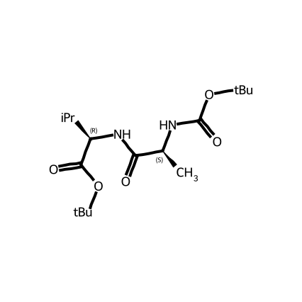 CC(C)[C@@H](NC(=O)[C@H](C)NC(=O)OC(C)(C)C)C(=O)OC(C)(C)C